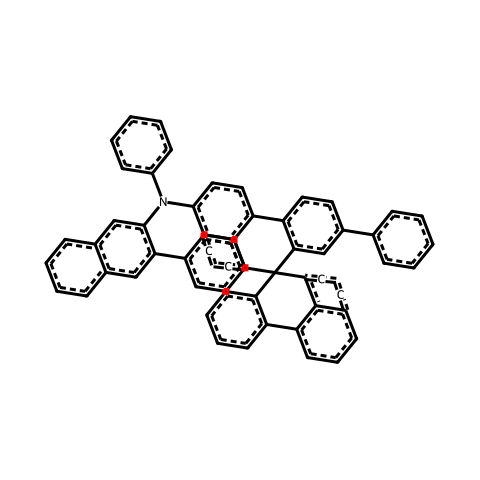 c1ccc(-c2ccc3c(c2)C2(c4ccccc4-c4cccc5cccc2c45)c2cccc4c(N(c5ccccc5)c5cc6ccccc6cc5-c5ccccc5)ccc-3c24)cc1